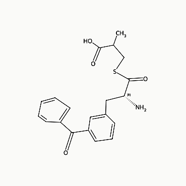 CC(CSC(=O)[C@H](N)Cc1cccc(C(=O)c2ccccc2)c1)C(=O)O